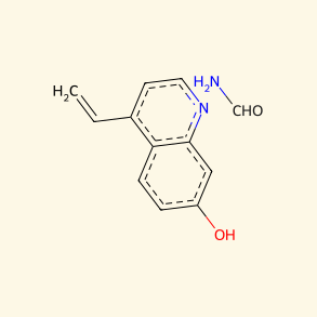 C=Cc1ccnc2cc(O)ccc12.NC=O